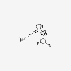 CN(C)CCCCCCOc1cccnc1-c1noc(-c2cc(F)cc(C#N)c2)n1